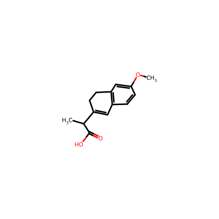 COc1ccc2c(c1)CCC(C(C)C(=O)O)=C2